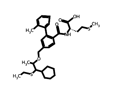 CCSC(C1CCCCC1)C(C)OCc1ccc(C(=O)N[C@@H](CCSC)C(=O)O)c(-c2ccccc2C)c1